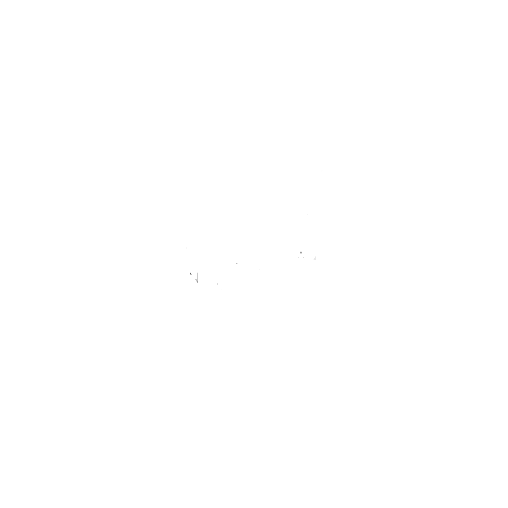 CCC[CH2][Al]([CH2]CCC)[CH2]CCCN(C)C